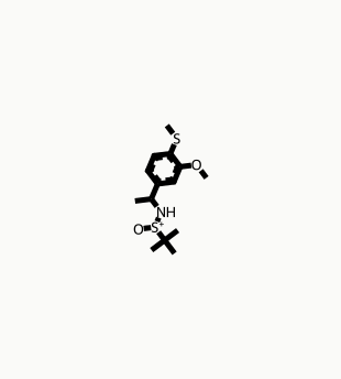 COc1cc(C(C)N[S+]([O-])C(C)(C)C)ccc1SC